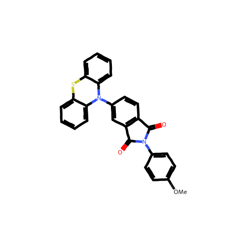 COc1ccc(N2C(=O)c3ccc(N4c5ccccc5Sc5ccccc54)cc3C2=O)cc1